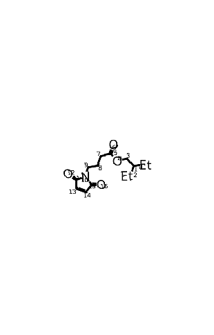 CCC(CC)COC(=O)CCCN1C(=O)C=CC1=O